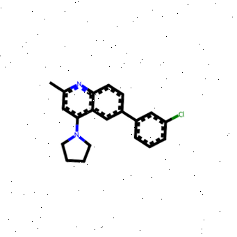 Cc1cc(N2CCCC2)c2cc(-c3cccc(Cl)c3)ccc2n1